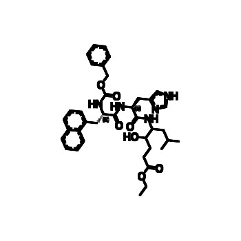 CCOC(=O)CCC(O)C(CC(C)C)NC(=O)[C@H](Cc1c[nH]cn1)NC(=O)[C@H](Cc1cccc2ccccc12)NC(=O)OCc1ccccc1